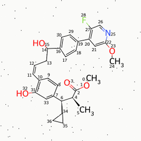 COC(=O)[C@@H](C)[C@H](c1ccc(/C=C\CC(O)c2ccc(-c3cc(OC)ncc3F)cc2)c(O)c1)C1CC1